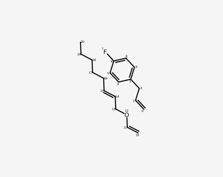 C=CCc1ccc(F)cc1.C=COCC=CCCCCC